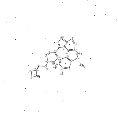 C[C@@H](Nc1ccc2ncc(-c3ccc(OC[C@@H]4CCN4)c(F)c3)n2n1)c1cccc(F)c1